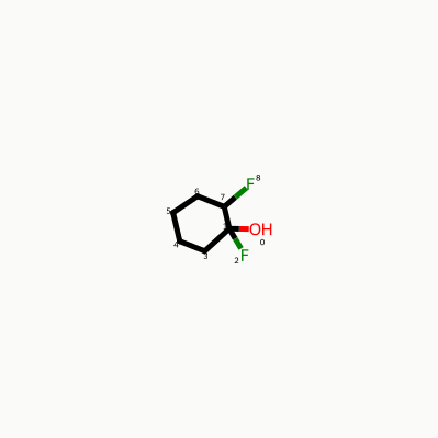 OC1(F)CCCCC1F